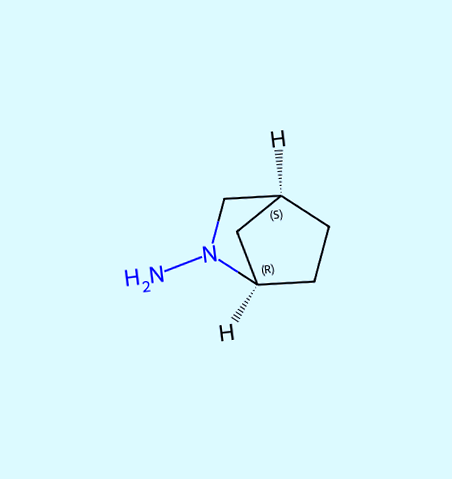 NN1C[C@H]2CC[C@@H]1C2